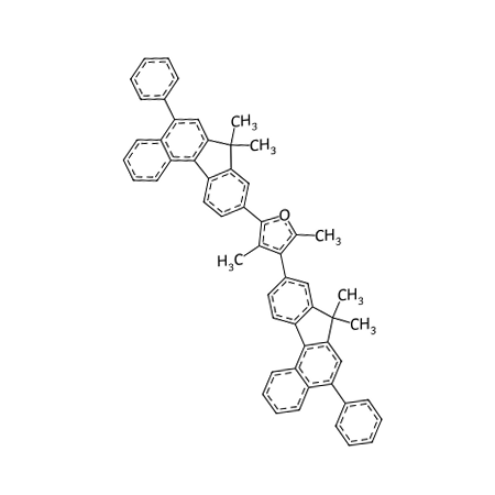 Cc1oc(-c2ccc3c(c2)C(C)(C)c2cc(-c4ccccc4)c4ccccc4c2-3)c(C)c1-c1ccc2c(c1)C(C)(C)c1cc(-c3ccccc3)c3ccccc3c1-2